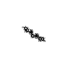 Cc1ccc2cc(-c3nnc(-c4cccc(-c5nnc(-c6cnc7cc(C)ccc7c6)o5)c4)o3)cnc2c1